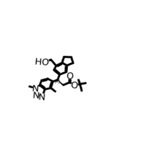 Cc1c([C@H](CC(=O)OC(C)(C)C)c2cc(CO)c3c(c2)CCC3)ccc2c1nnn2C